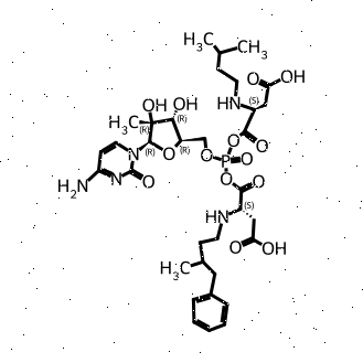 CC(C)CCN[C@@H](CC(=O)O)C(=O)OP(=O)(OC[C@H]1O[C@@H](n2ccc(N)nc2=O)[C@](C)(O)[C@@H]1O)OC(=O)[C@H](CC(=O)O)NCCC(C)Cc1ccccc1